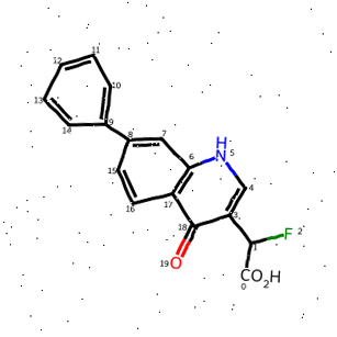 O=C(O)C(F)c1c[nH]c2cc(-c3ccccc3)ccc2c1=O